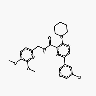 COc1ccc(CNC(=O)c2nc(-c3cncc(Cl)c3)cnc2N2CCCCC2)nc1OC